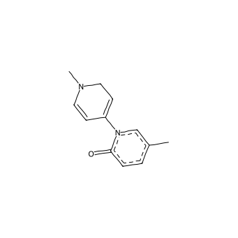 Cc1ccc(=O)n(C2=CCN(C)C=C2)c1